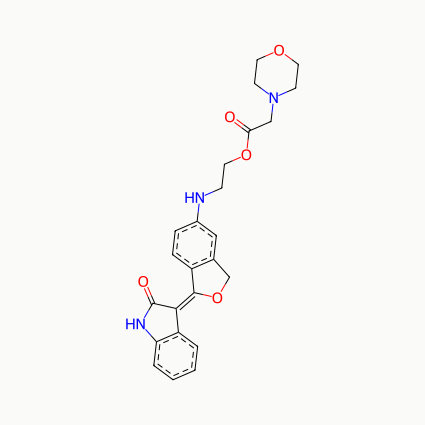 O=C(CN1CCOCC1)OCCNc1ccc2c(c1)COC2=C1C(=O)Nc2ccccc21